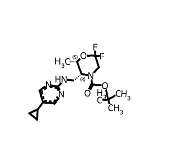 C[C@@H]1OC(F)(F)CN(C(=O)OC(C)(C)C)[C@@H]1CNc1ncc(C2CC2)cn1